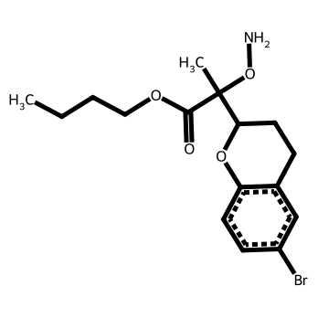 CCCCOC(=O)C(C)(ON)C1CCc2cc(Br)ccc2O1